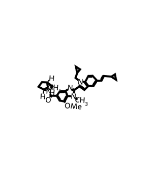 COc1cc(C(=O)N2C[C@H]3CC[C@@H]2[C@H]3N)cc2nc(-c3cc4cc(/C=C/C5CC5)ccc4n3CC3CC3)n(C)c12